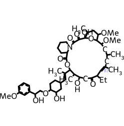 CCC1/C=C(\C)CC(C)CC(OC)C2OC(O)(C(=O)C(=O)N3CCCCC3C(=O)OC(C(C)=CC3CCC(OCC(O)c4cccc(OC)c4)C(O)C3)C(C)C(O)CC1=O)C(C)CC2OC